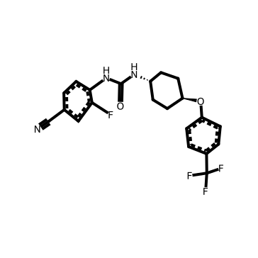 N#Cc1ccc(NC(=O)N[C@H]2CC[C@H](Oc3ccc(C(F)(F)F)cc3)CC2)c(F)c1